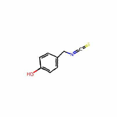 Oc1ccc(CN=C=S)cc1